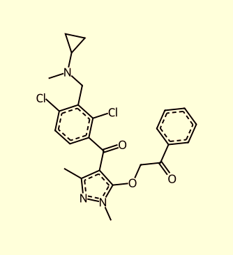 Cc1nn(C)c(OCC(=O)c2ccccc2)c1C(=O)c1ccc(Cl)c(CN(C)C2CC2)c1Cl